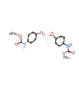 CCCCOC(=O)Nc1ccc(OBOc2ccc(NC(=O)OCCCC)cc2)cc1